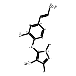 Cc1nn(C)c(Oc2ccc(C=CC(=O)O)cc2Cl)c1C=O